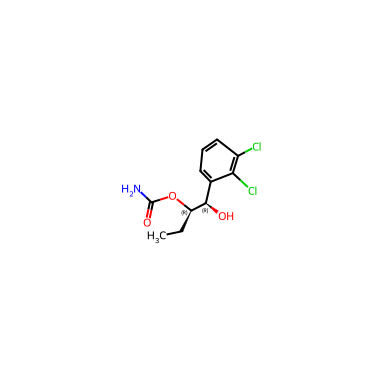 CC[C@@H](OC(N)=O)[C@H](O)c1cccc(Cl)c1Cl